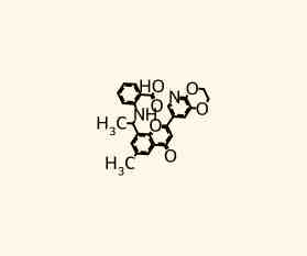 Cc1cc(C(C)Nc2ccccc2C(=O)O)c2oc(-c3cnc4c(c3)OCCO4)cc(=O)c2c1